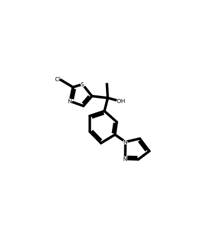 CC(O)(c1cccc(-n2cccn2)c1)c1cnc(Cl)s1